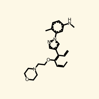 C=C/C(=C(\C=C/C)OCCN1CCOCC1)c1cnn(-c2cc(NC)ccc2C)c1